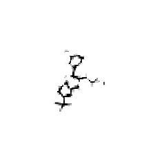 CC(C)(C)c1ccc2nc(-c3cccc(O)c3)c(CCCO)cc2c1